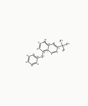 FC(F)(F)c1ccc2c(Sc3cc[c]cc3)ccnc2c1